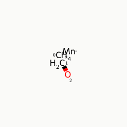 C.C=O.[Mn]